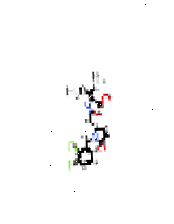 CC(C)C1N=C(C[C@@H]2CCC(=O)N2Cc2cccc(F)c2F)OC1=O